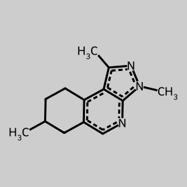 Cc1nn(C)c2ncc3c(c12)CCC(C)C3